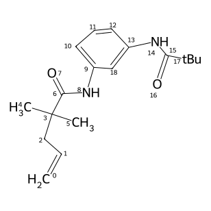 C=CCC(C)(C)C(=O)Nc1cccc(NC(=O)C(C)(C)C)c1